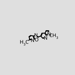 Cc1ccc2nc(-c3cnc4c(ccn4C)c3)oc2n1